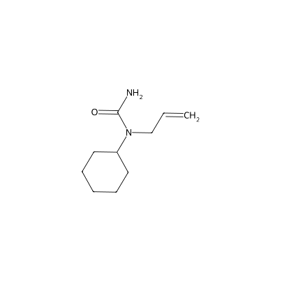 C=CCN(C(N)=O)C1CCCCC1